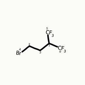 FC(F)(F)C(CCBr)C(F)(F)F